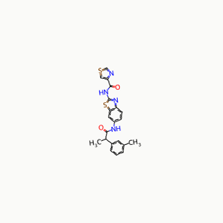 Cc1cccc(C(C)C(=O)Nc2ccc3nc(NC(=O)c4cscn4)sc3c2)c1